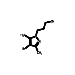 Cc1nn(CCCC#N)c(C)c1C(C)C